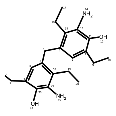 CCc1cc(Cc2cc(CC)c(O)c(N)c2CC)c(CC)c(N)c1O